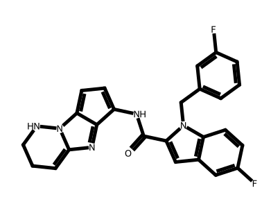 O=C(NC1=CC=c2c1nc1n2NCCC=1)c1cc2cc(F)ccc2n1Cc1cccc(F)c1